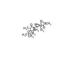 COC(=O)C(C)(C)n1cnc(N(N)C(=O)C(C)C(=O)OC(C)(C)C)c1